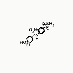 CC[C@]1(O)CC[C@H](CNc2ccc(S(N)(=O)=O)cc2[N+](=O)[O-])CC1